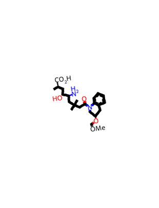 COCO[C@@H]1Cc2ccccc2N(C(=O)CC(C)(C)C[C@H](N)[C@@H](O)C[C@@H](C)C(=O)O)C1